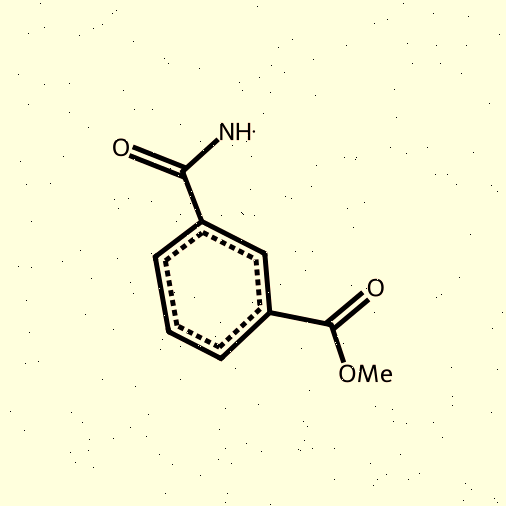 COC(=O)c1cccc(C([NH])=O)c1